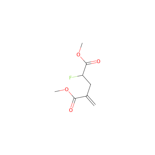 C=C(CC(F)C(=O)OC)C(=O)OC